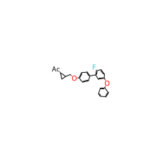 CC(=O)C1CC1COc1ccc(-c2cc(Oc3ccccc3)ccc2F)cc1